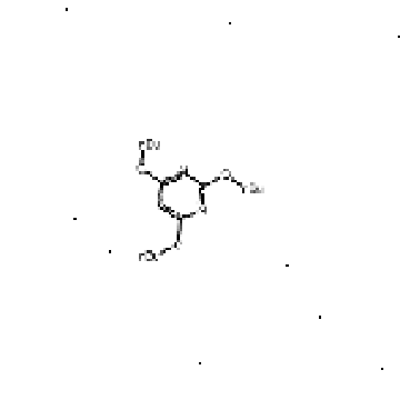 CCCCOc1cc(OCCCC)nc(OCCCC)n1